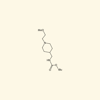 COCCN1CCC(CNC(=O)OC(C)(C)C)CC1